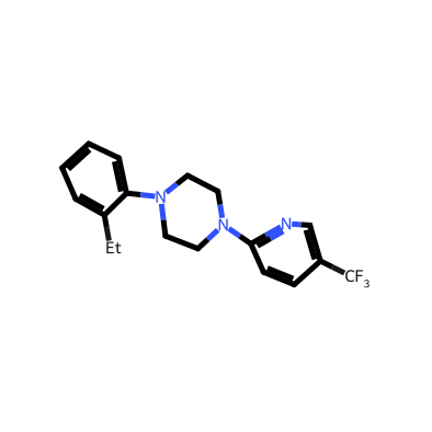 CCc1ccccc1N1CCN(c2ccc(C(F)(F)F)cn2)CC1